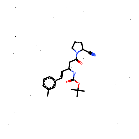 Cc1cccc(/C=C/C(CC(=O)N2CCCC2C#N)NC(=O)OC(C)(C)C)c1